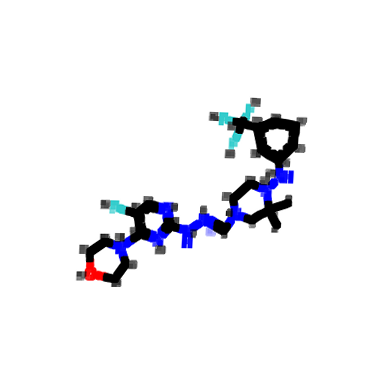 CC1(C)CN(/C=N/Nc2ncc(F)c(N3CCOCC3)n2)CCN1Nc1cccc(C(F)(F)F)c1